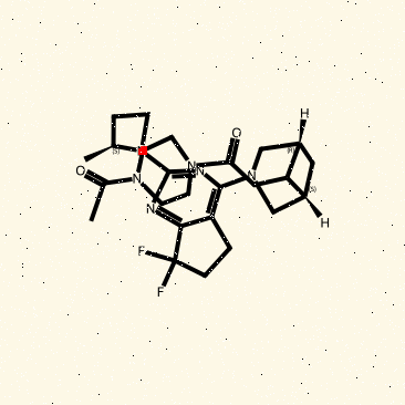 CC(=O)N1CCN(C(=O)CC2[C@@H]3C[C@H]2CN(c2nc(N4CC[C@@H]4C)nc4c2CCC4(F)F)C3)CC1